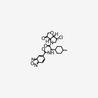 CC1CCC([C@H](NC(=O)c2ccc3nonc3c2)C(=O)N2C[C@H](Cl)[C@H]3OCC(=O)[C@H]32)CC1